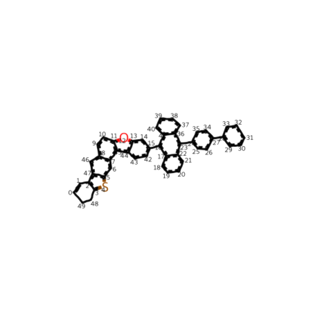 C1=Cc2c(sc3cc4c(ccc5oc6cc(-c7c8ccccc8c(-c8ccc(-c9ccccc9)cc8)c8ccccc78)ccc6c54)cc23)CC1